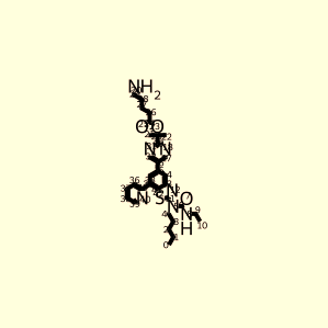 CCCCCN(C(=O)NCC)c1nc2cc(-c3cnc(C(C)(C)OC(=O)CCCCN)nc3)cc(-c3ccccn3)c2s1